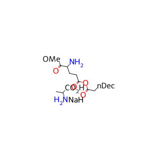 CC(N)C(=O)O.CCCCCCCCCCCC(=O)OC(=O)CCC(N)C(=O)OC.[NaH]